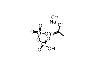 CC(=O)[O-].[Cr+].[Na+].[O]=[Cr](=[O])([O-])[O][Cr](=[O])(=[O])[OH]